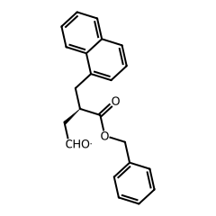 O=[C]C[C@@H](Cc1cccc2ccccc12)C(=O)OCc1ccccc1